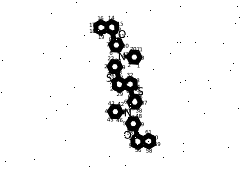 c1ccc(N(c2ccc3c(c2)oc2ccc4ccccc4c23)c2ccc3sc4ccc5c(ccc6sc7ccc(N(c8ccccc8)c8ccc9c(c8)oc8ccc%10ccccc%10c89)cc7c65)c4c3c2)cc1